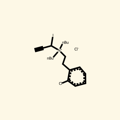 C#CC(I)[N+](CCCC)(CCCC)CCc1ccccc1Cl.[Cl-]